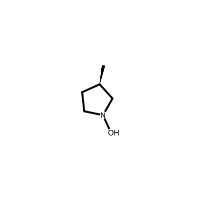 C[C@@H]1CCN(O)C1